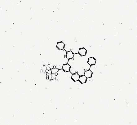 CC1(C)OB(c2cc(-c3ccc4ccc5ccc(-c6ccccc6)nc5c4n3)cc(-c3nc(-c4ccccc4)nc(-c4ccccc4)n3)c2)OC1(C)C